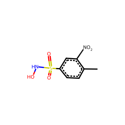 Cc1ccc(S(=O)(=O)NO)cc1[N+](=O)[O-]